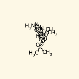 CCCC(CCC)C(=O)OCOP1(=O)OC[C@H]2O[C@@](C#N)(c3ccc4c(N)ncnn34)[C@H](OC(=O)C(C)C)[C@@H]2O1